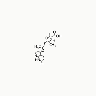 C=C1/C(=C\C=C(/C)Oc2ccnc3c2CCC(=O)N3)O[C@H]2[C@@H]1[C@@H]2C(=O)O